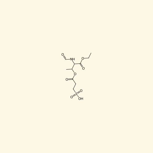 CCOC(=O)C(NC=O)C(C)OC(=O)CCS(=O)(=O)O